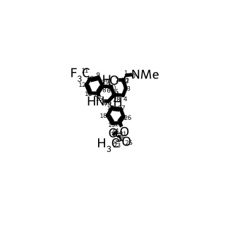 CNC[C@H]1CC[C@@H]2[C@H](O1)c1cc(C(F)(F)F)ccc1N[C@H]2c1ccc(OS(C)(=O)=O)cc1